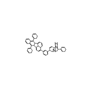 C1=CCCC(C2=c3ccccc3=C(C3=CC=CCC3)C3C4=CC=C(c5cccc(C6C=CC7NC(C8=CCCC=C8)CN7C6)c5)C5C=CC=C(C45)C23)=C1